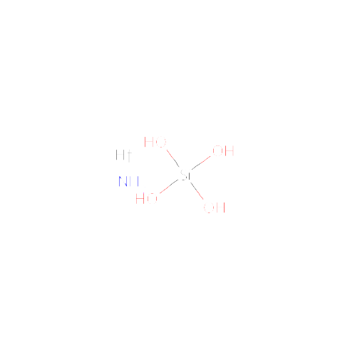 N.O[Si](O)(O)O.[Hf]